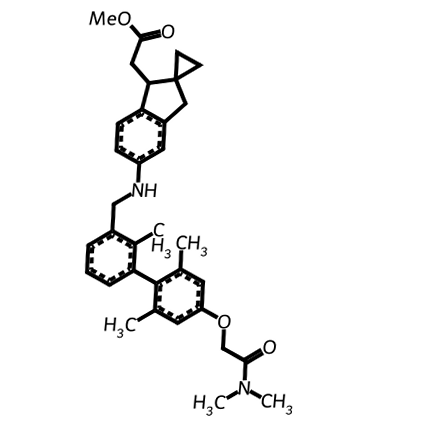 COC(=O)CC1c2ccc(NCc3cccc(-c4c(C)cc(OCC(=O)N(C)C)cc4C)c3C)cc2CC12CC2